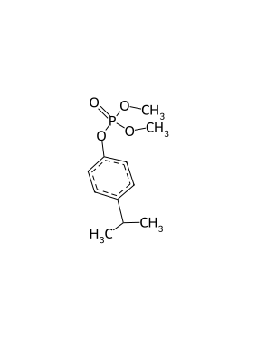 COP(=O)(OC)Oc1ccc(C(C)C)cc1